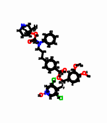 COc1ccc([C@H](Cc2c(Cl)c[n+]([O-])cc2Cl)OC(=O)c2ccc(CCCN(C(=O)O[C@H]3CN4CCC3CC4)c3ccccc3)cc2)cc1OC